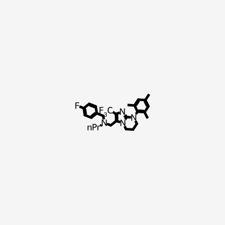 CCCN(Cc1ccc(F)cc1)Cc1c(C(F)(F)F)nc2n1CCCN2c1c(C)cc(C)cc1C